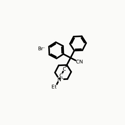 CC[N+]12CCC(C(C#N)(c3ccccc3)c3ccccc3)(CC1)CC2.[Br-]